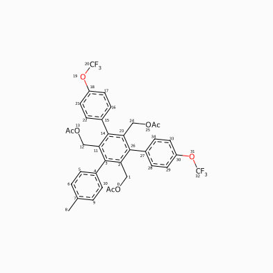 CC(=O)OCc1c(-c2ccc(C)cc2)c(COC(C)=O)c(-c2ccc(OC(F)(F)F)cc2)c(COC(C)=O)c1-c1ccc(OC(F)(F)F)cc1